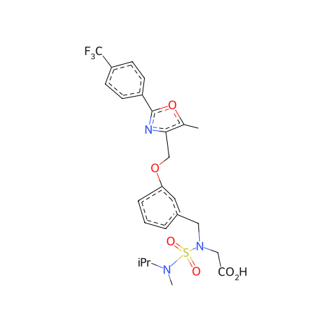 Cc1oc(-c2ccc(C(F)(F)F)cc2)nc1COc1cccc(CN(CC(=O)O)S(=O)(=O)N(C)C(C)C)c1